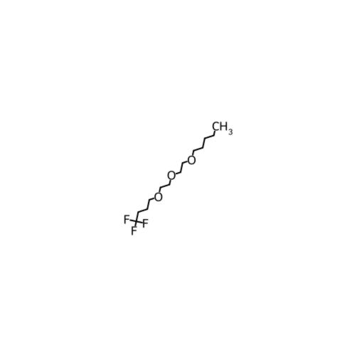 CCCCCOCCOCCOCCCC(F)(F)F